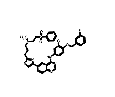 CN(CCCc1nc(-c2ccc3ncnc(Nc4ccc(OCc5cccc(F)c5)c(Cl)c4)c3c2)cs1)CCS(=O)(=O)c1ccccc1